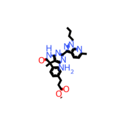 CCCCn1nc(-c2nc(N)c3c(n2)NC(=O)C3(C)c2ccc(CCC(=O)OC)cc2)c2ccc(C)nc21